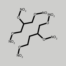 O=[N+]([O-])OCC(CO[N+](=O)[O-])O[N+](=O)[O-].O=[N+]([O-])OCCC(CO[N+](=O)[O-])O[N+](=O)[O-]